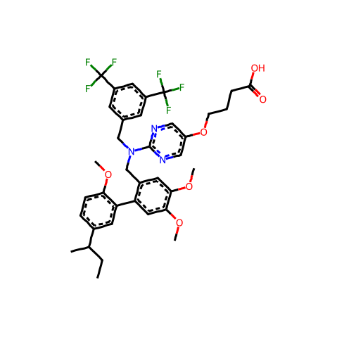 CCC(C)c1ccc(OC)c(-c2cc(OC)c(OC)cc2CN(Cc2cc(C(F)(F)F)cc(C(F)(F)F)c2)c2ncc(OCCCC(=O)O)cn2)c1